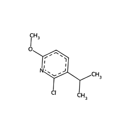 COc1ccc(C(C)C)c(Cl)n1